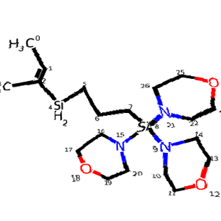 CC=C(C)[SiH2]CCC[Si](N1CCOCC1)(N1CCOCC1)N1CCOCC1